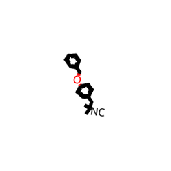 [C-]#[N+]C(C)(C)Cc1ccc(OCc2ccccc2)cc1